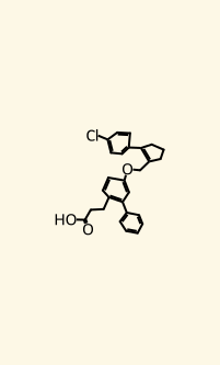 O=C(O)CCc1ccc(OCC2=C(c3ccc(Cl)cc3)CCC2)cc1-c1ccccc1